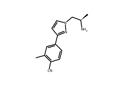 Cc1cc(-c2ccn(C[C@@H](C)N)n2)ccc1C#N